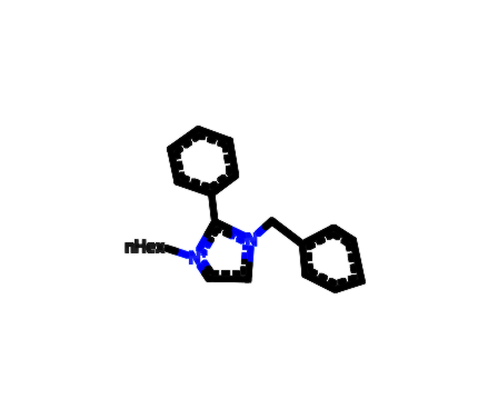 CCCCCC[n+]1ccn(Cc2ccccc2)c1-c1ccccc1